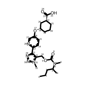 CCCC(C)N(C)C(=O)OCc1c(-c2ccc(O[C@H]3CCC[C@H](C(=O)O)C3)cn2)nnn1C